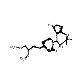 CC1(C)Oc2ccc(C#N)cc2C(n2ccc(CCC(CO[N+](=O)[O-])O[N+](=O)[O-])cc2=O)C1O